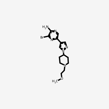 COCCN1CCC(n2cc(-c3cnc(N)c(Br)n3)cn2)CC1